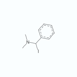 CN(C)C(I)c1ccccc1